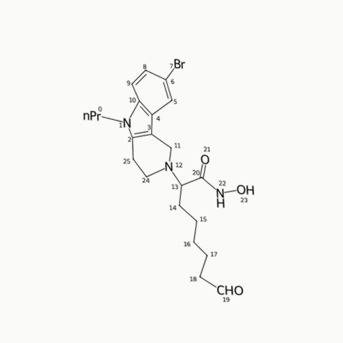 CCCn1c2c(c3cc(Br)ccc31)CN(C(CCCCCC=O)C(=O)NO)CC2